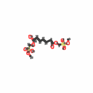 COS(=O)(=O)COC(=O)CCCCCC(=O)OCS(=O)(=O)OC